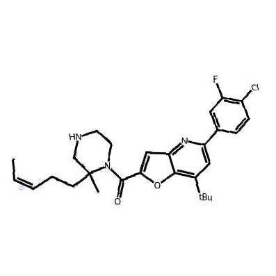 C/C=C\CCC1(C)CNCCN1C(=O)c1cc2nc(-c3ccc(Cl)c(F)c3)cc(C(C)(C)C)c2o1